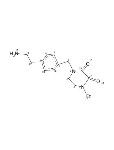 CCN1CCN(Cc2ccc(CCN)cc2)C(=O)C1=O